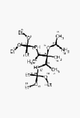 CCOC(CC)(OCC)PC(C)C(C)(OC(C)N)C(C)PC(CC)(OCC)OCC